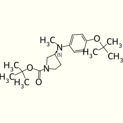 CN(c1ccc(OC(C)(C)C)cc1)[C@H]1CCN(C(=O)OC(C)(C)C)C1